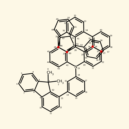 CC1(C)c2ccccc2-c2cccc(-c3cccc(N(c4ccccc4-c4cccc5cccc(-c6ccccc6)c45)c4cccc5c6ccccc6n(-c6ccccc6)c45)c3)c21